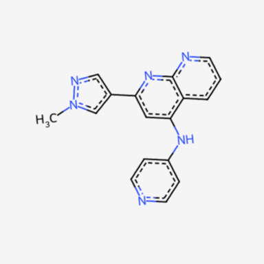 Cn1cc(-c2cc(Nc3ccncc3)c3cccnc3n2)cn1